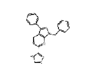 c1ccc(Cn2nc(-c3ccccc3)c3cnc(-c4nnc[nH]4)nc32)cc1